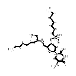 CCCCCCCC(CC)OCC1O[C@@H](n2cc(C)c(=O)[nH]c2=S)C[C@H]1OP(=O)(O)CCCCCCC